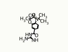 CC(C)N1C(=O)C(C)(C)Oc2cc(C(=O)NC(=N)N)ccc21